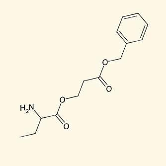 CCC(N)C(=O)OCCC(=O)OCc1ccccc1